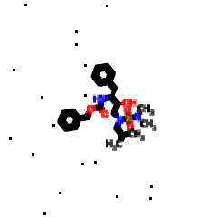 CC(C)CN(C[C@@H](O)[C@H](Cc1ccccc1)NC(=O)OCc1ccccc1)S(=O)(=O)N(C)C